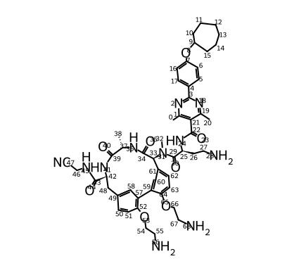 Cc1nc(-c2ccc(OC3CCCCCC3)cc2)nc(C)c1C(=O)N[C@@H](CCN)C(=O)N(C)[C@@H]1C(=O)N[C@@H](C)C(=O)N[C@H](C(=O)NCC#N)Cc2ccc(OCCN)c(c2)-c2cc1ccc2OCCN